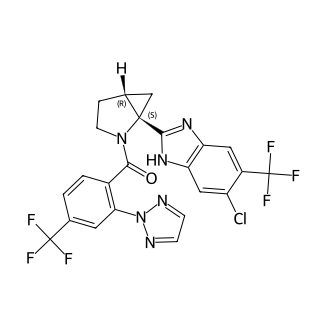 O=C(c1ccc(C(F)(F)F)cc1-n1nccn1)N1CC[C@@H]2C[C@@]21c1nc2cc(C(F)(F)F)c(Cl)cc2[nH]1